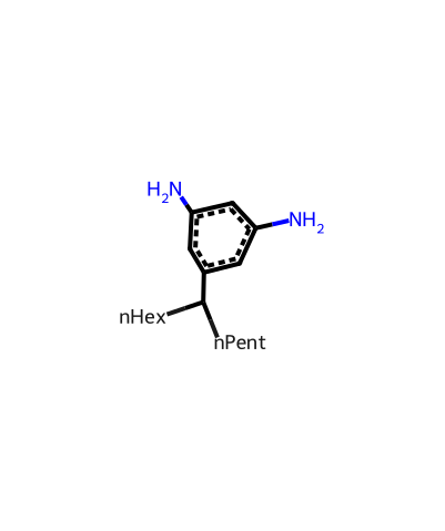 CCCCCCC(CCCCC)c1cc(N)cc(N)c1